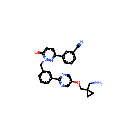 N#Cc1cccc(-c2ccc(=O)n(Cc3cccc(-c4ncc(OCC5(CN)CC5)cn4)c3)n2)c1